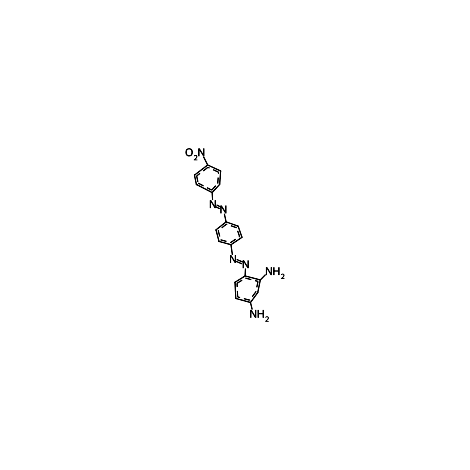 Nc1ccc(N=Nc2ccc(/N=N/c3ccc([N+](=O)[O-])cc3)cc2)c(N)c1